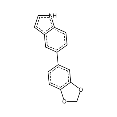 c1cc2cc(-c3ccc4c(c3)OCO4)ccc2[nH]1